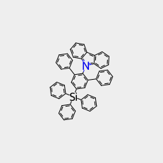 c1ccc(-c2cc([Si](c3ccccc3)(c3ccccc3)c3ccccc3)cc(-c3ccccc3)c2-n2c3ccccc3c3ccccc32)cc1